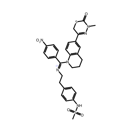 CN1N=C(c2ccc3c(c2)CCCN3/C(=N\CCc2ccc(NS(C)(=O)=O)cc2)c2ccc([N+](=O)[O-])cc2)CSC1=O